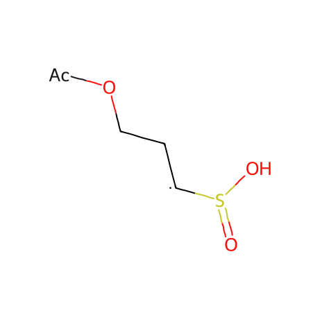 CC(=O)OCC[CH]S(=O)O